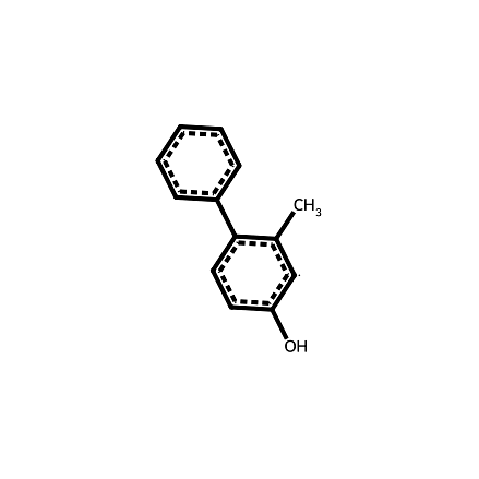 Cc1[c]c(O)ccc1-c1ccccc1